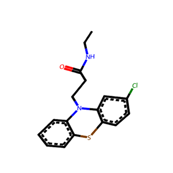 CCNC(=O)CCN1c2ccccc2Sc2ccc(Cl)cc21